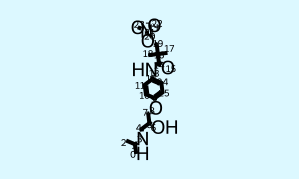 CC(C)NCC(O)COc1ccc(NC(=O)C(C)(C)CO[N+](=O)[O-])cc1